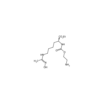 CCOC(=O)[C@H](CCCCNC(C)=NO)NC(=O)OCCN